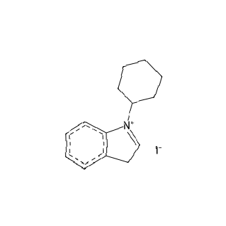 C1=[N+](C2CCCCC2)c2ccccc2C1.[I-]